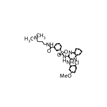 COc1ccc(Cl)c(Nc2nc3ccccc3nc2NS(=O)(=O)c2cccc(C(=O)NCCCN(C)C)c2)c1